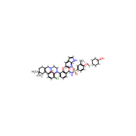 CC1(C)CCC(CN2CCN(c3cccc(C(=O)NS(=O)(=O)c4ccc(OC[C@H]5CC[C@H](O)CC5)c([N+](=O)[O-])c4)c3Oc3cnc4[nH]ccc4c3)CC2)=C(c2ccc(Cl)cc2)C1